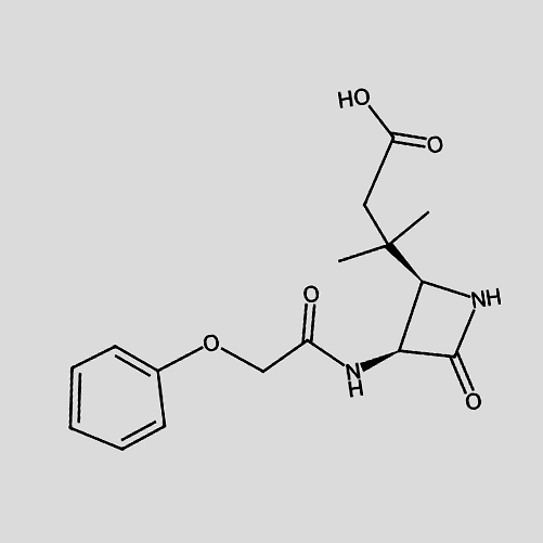 CC(C)(CC(=O)O)[C@H]1NC(=O)[C@H]1NC(=O)COc1ccccc1